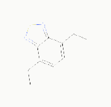 CCc1ccc(CC)c2nsnc12